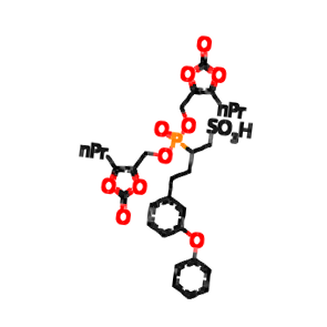 CCCc1oc(=O)oc1COP(=O)(OCc1oc(=O)oc1CCC)C(CCc1cccc(Oc2ccccc2)c1)CS(=O)(=O)O